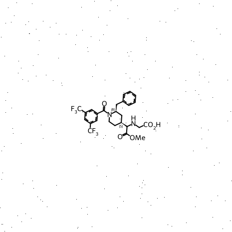 COC(=O)C(NCC(=O)O)[C@H]1CCN(C(=O)c2cc(C(F)(F)F)cc(C(F)(F)F)c2)[C@@H](Cc2ccccc2)C1